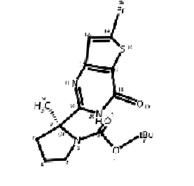 CC(C)(C)OC(=O)N1CCC[C@@]1(C)c1nc2cc(Br)sc2c(=O)[nH]1